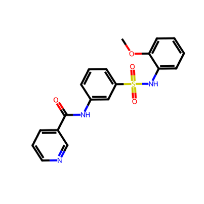 COc1ccccc1NS(=O)(=O)c1cccc(NC(=O)c2cccnc2)c1